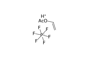 C=COC(C)=O.F[P-](F)(F)(F)(F)F.[H+]